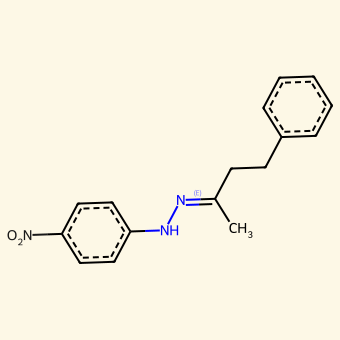 C/C(CCc1ccccc1)=N\Nc1ccc([N+](=O)[O-])cc1